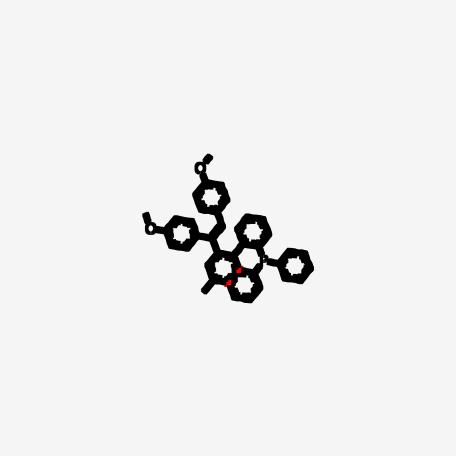 COc1ccc(/C=C(\c2ccc(OC)cc2)c2cc(C)ccc2-c2ccccc2P(c2ccccc2)c2ccccc2)cc1